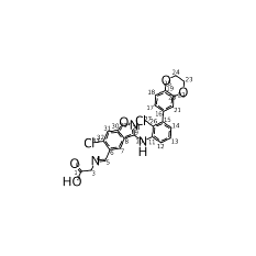 O=C(O)CN=Cc1cc2c(Nc3cccc(-c4ccc5c(c4)OCCO5)c3Cl)noc2cc1Cl